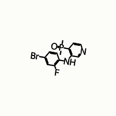 CP(C)(=O)c1ccncc1Nc1ccc(Br)cc1F